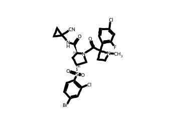 CN1CCC1(C(=O)N1C[C@H](S(=O)(=O)c2ccc(Br)cc2Cl)C[C@H]1C(=O)NC1(C#N)CC1)c1ccc(Cl)cc1F